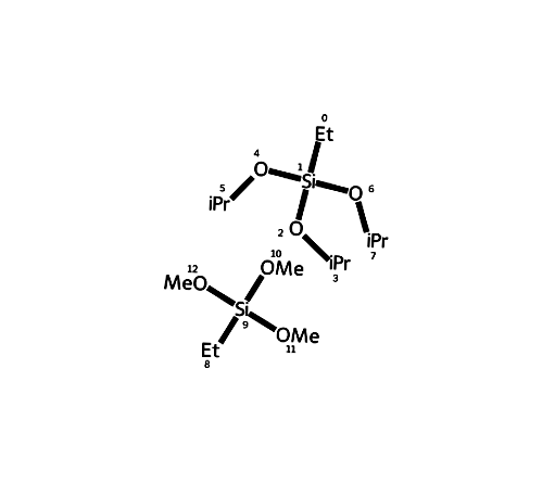 CC[Si](OC(C)C)(OC(C)C)OC(C)C.CC[Si](OC)(OC)OC